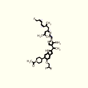 C=C(/C=C\C=C/CF)C/C(C=C(C)C)=N/C=C/n1ncc(C(=C)c2cc3cc(OCC(F)F)c(C4CCN(C(C)=O)CC4)cc3[nH]2)c1N